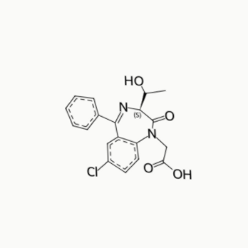 CC(O)[C@@H]1N=C(c2ccccc2)c2cc(Cl)ccc2N(CC(=O)O)C1=O